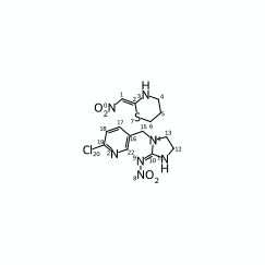 O=[N+]([O-])/C=C1/NCCCS1.O=[N+]([O-])/N=C1\NCCN1Cc1ccc(Cl)nc1